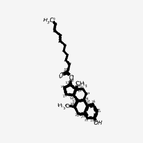 CCCCCCCCCCC(=O)OC1CCC2C3C(C)Cc4cc(O)ccc4C3CCC12C